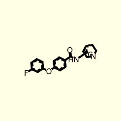 O=C(NC1CC2CCN(CC2)C1)c1ccc(Oc2cccc(F)c2)cc1